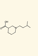 CC(C)CCN1CCCC(C(=O)O)C1